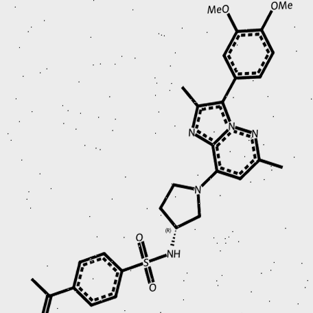 C=C(C)c1ccc(S(=O)(=O)N[C@@H]2CCN(c3cc(C)nn4c(-c5ccc(OC)c(OC)c5)c(C)nc34)C2)cc1